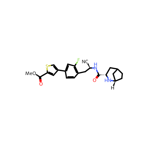 COC(=O)c1cc(-c2ccc(C[C@@H](C#N)NC(=O)[C@@H]3CC4CC[C@@H](C4)N3)c(F)c2)cs1